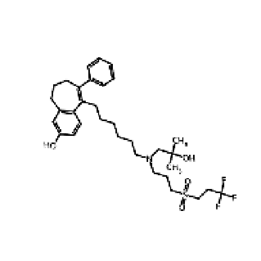 CC(C)(O)CN(CCCCCCC1=C(c2ccccc2)CCCc2cc(O)ccc21)CCCS(=O)(=O)CCC(F)(F)F